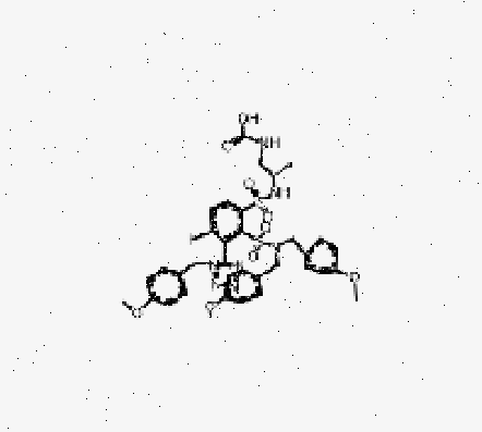 COc1ccc(CN(Cc2ccc(OC)cc2)S(=O)(=O)c2c(S(=O)(=O)N[C@H](C)CNC(=O)O)ccc(I)c2-c2nnnn2Cc2ccc(OC)cc2)cc1